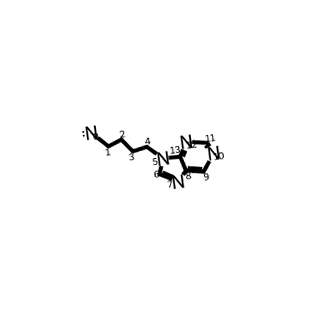 [N]CCCCn1cnc2cncnc21